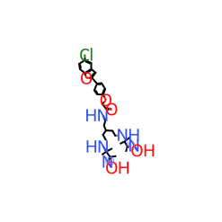 C/C(=N\O)C(C)(C)NCCC(CCNC(=O)COc1ccc(-c2cc3cc(Cl)ccc3o2)cc1)CCNC(C)(C)/C(C)=N/O